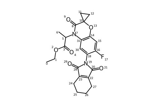 CCOC(=O)C(C)N1C(=O)C2(CC2)Oc2cc(F)c(N3C(=O)C4=C(CCCC4)C3=O)cc21